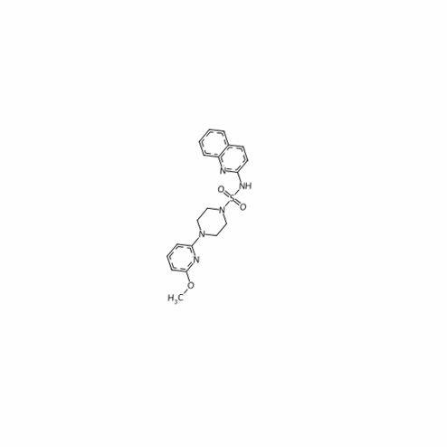 COc1cccc(N2CCN(S(=O)(=O)Nc3ccc4ccccc4n3)CC2)n1